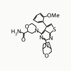 COc1ccccc1-c1csc2nc(N3C4CCC3COC4)nc(N3CCOC(C(N)=O)C3)c12